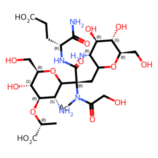 CC(=O)N(C(=O)CO)[C@@](CC1O[C@H](CO)[C@@H](O)[C@H](O)[C@H]1N)(C(=O)N[C@H](CCC(=O)O)C(N)=O)C1O[C@H](CO)[C@@H](O)[C@H](O[C@H](C)C(=O)O)[C@H]1N